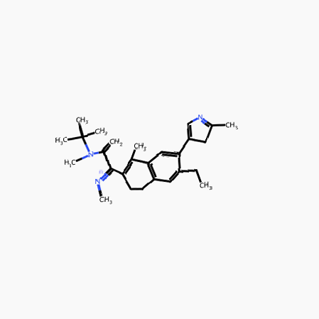 C=C(/C(=N/C)C1=C(C)c2cc(C3=CN=C(C)C3)c(CC)cc2CC1)N(C)C(C)(C)C